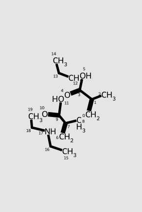 C=C(C)C(=O)O.C=C(C)C(=O)O.CCC.CCNCC